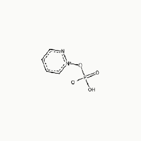 O=P([O-])(O)O[n+]1ccccn1